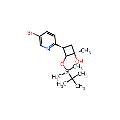 CC(C)(C)[Si](C)(C)OC1[C@@H](c2ccc(Br)cn2)C[C@@]1(C)O